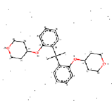 CC(C)(c1ccccc1OC1CCOCC1)c1ccccc1OC1CCOCC1